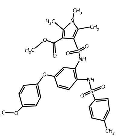 COC(=O)c1c(S(=O)(=O)Nc2cc(Oc3ccc(OC)cc3)ccc2NS(=O)(=O)c2ccc(C)cc2)c(C)n(C)c1C